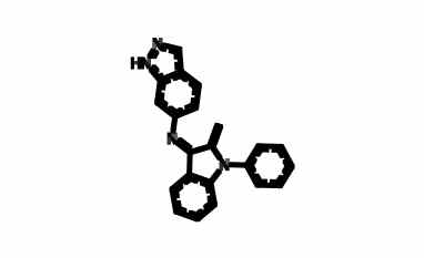 C=C1/C(=N\c2ccc3cn[nH]c3c2)c2ccccc2N1c1ccccc1